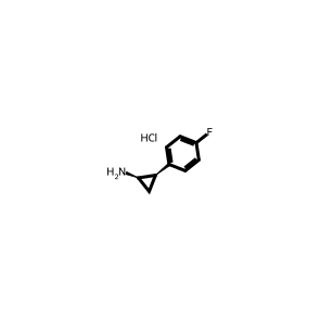 Cl.N[C@@H]1C[C@@H]1c1ccc(F)cc1